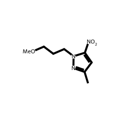 COCCCn1nc(C)cc1[N+](=O)[O-]